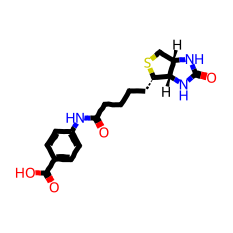 O=C(CCCC[C@@H]1SC[C@@H]2NC(=O)N[C@@H]21)Nc1ccc(C(=O)O)cc1